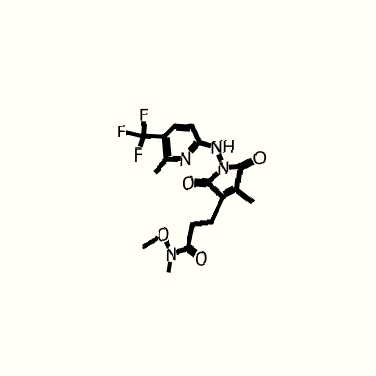 CON(C)C(=O)CCC1=C(C)C(=O)N(Nc2ccc(C(F)(F)F)c(C)n2)C1=O